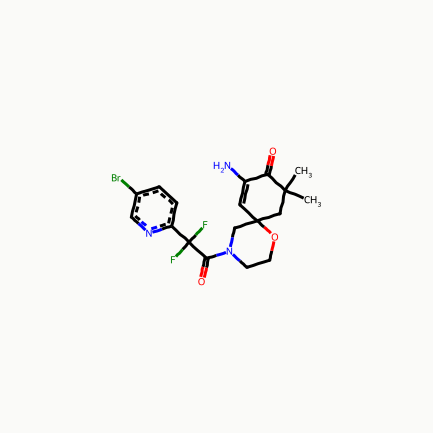 CC1(C)CC2(C=C(N)C1=O)CN(C(=O)C(F)(F)c1ccc(Br)cn1)CCO2